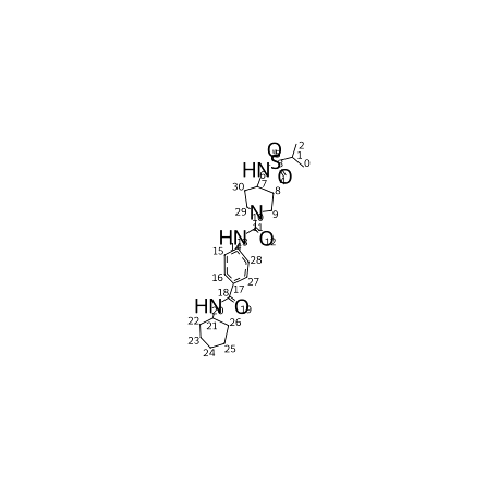 CC(C)S(=O)(=O)NC1CCN(C(=O)Nc2ccc(C(=O)NC3CCCCC3)cc2)CC1